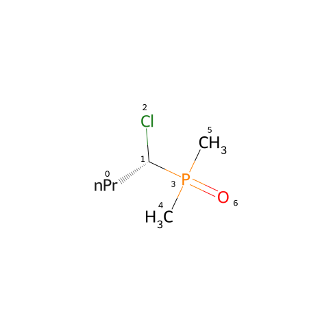 CCC[C@H](Cl)P(C)(C)=O